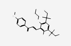 CCCOc1c(C(C)(C)CC)cc(C(C)(C)CC)c(O)c1C=CC(=O)c1ccc(NC)cc1